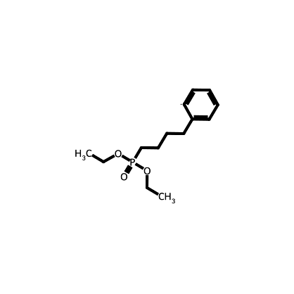 CCOP(=O)(CCCCc1[c]cccc1)OCC